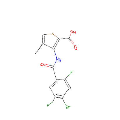 Cc1csc(C(=O)O)c1NC(=O)c1cc(F)c(Br)cc1F